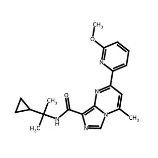 COc1cccc(-c2cc(C)n3cnc(C(=O)NC(C)(C)C4CC4)c3n2)n1